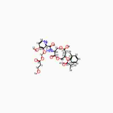 COCCC(=O)OCOc1c(OC)ccnc1C(=O)N[C@H]1COC(=O)[C@H](Cc2ccccc2)[C@@H](OC(=O)C(C)C)[C@H](C)OC1=O